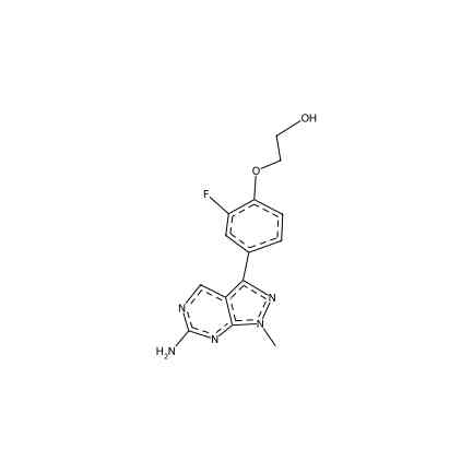 Cn1nc(-c2ccc(OCCO)c(F)c2)c2cnc(N)nc21